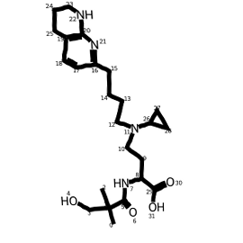 CC(C)(CO)C(=O)NC(CCN(CCCCc1ccc2c(n1)NCCC2)C1CC1)C(=O)O